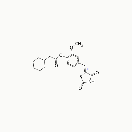 COc1cc(/C=C2\SC(=O)NC2=O)ccc1OC(=O)CC1CCCCC1